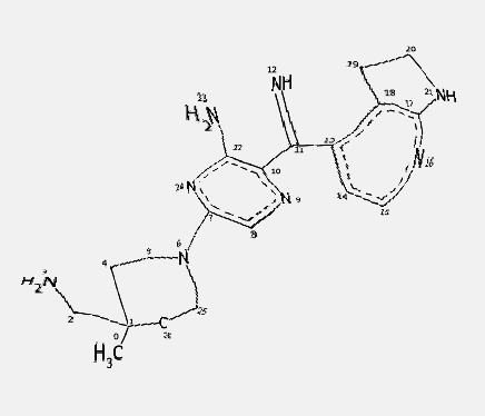 CC1(CN)CCN(c2cnc(C(=N)c3ccnc4c3CCN4)c(N)n2)CC1